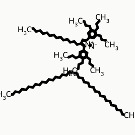 CCCCCCCCCCCCCCCC1=C(c2cc(CCCC)c(CCCC)c(CCCC)c2)[N+](=[N-])C(c2cc(CCCC)c(CCCC)c(CCCC)c2)=C1.CCCCCCCCCCCCCCCCCC[CH2][Pd][CH2]CCCCCCCCCCCCCCCCCC